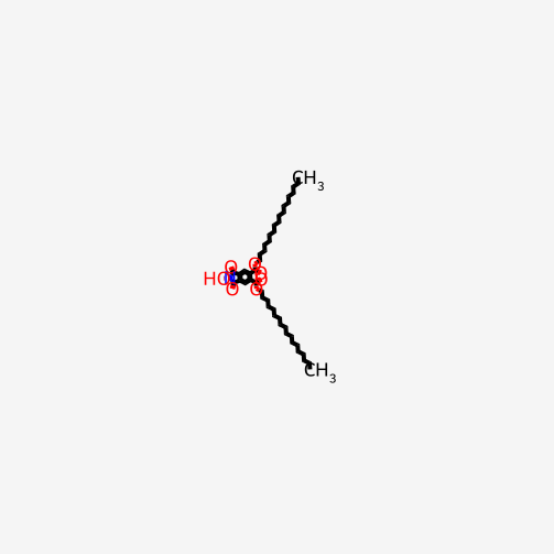 CCCCCCCCCCCCCCCCCCOC(=O)c1cc2c(cc1C(=O)OCCCCCCCCCCCCCCCCCC)C(=O)N(O)C2=O